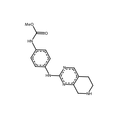 COC(=O)Nc1ccc(Nc2ncc3c(n2)CNCC3)cc1